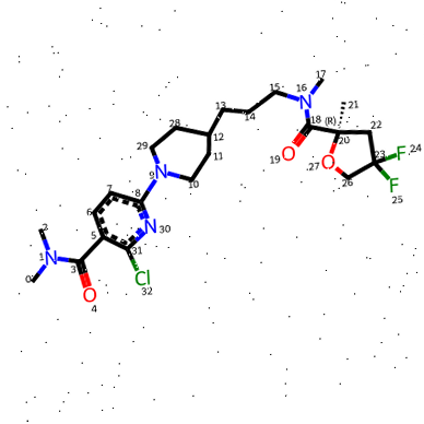 CN(C)C(=O)c1ccc(N2CCC(CCCN(C)C(=O)[C@@]3(C)CC(F)(F)CO3)CC2)nc1Cl